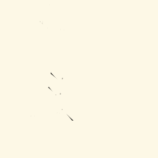 CC(C)NC(=O)OCC[C@H]1OCC[C@]2(Cc3ccc(Cl)cc3)c3c(F)ccc(F)c3OC[C@H]12